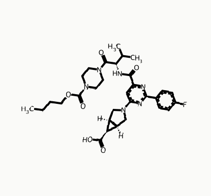 CCCCOC(=O)N1CCN(C(=O)[C@@H](NC(=O)c2cc(N3C[C@@H]4[C@H](C3)[C@@H]4C(=O)O)nc(-c3ccc(F)cc3)n2)C(C)C)CC1